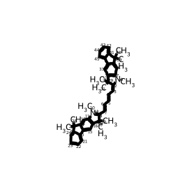 CN1/C(=C/C=C/C=C/C2=[N+](C)c3cc4c(cc3C2(C)C)-c2ccccc2C4(C)C)C(C)(C)c2cc3c(cc21)C(C)(C)c1ccccc1-3